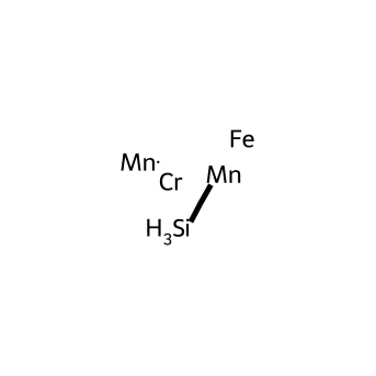 [Cr].[Fe].[Mn].[SiH3][Mn]